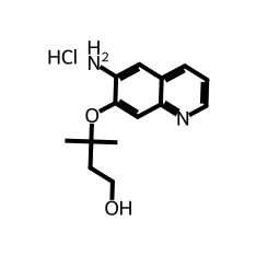 CC(C)(CCO)Oc1cc2ncccc2cc1N.Cl